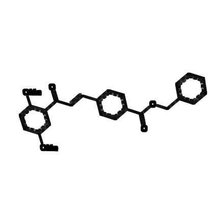 COc1ccc(OC)c(C(=O)C=Cc2ccc(C(=O)OCc3ccccc3)cc2)c1